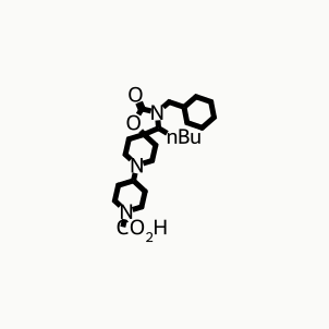 CCCCC1N(CC2CCCCC2)C(=O)OC12CCN(C1CCN(C(=O)O)CC1)CC2